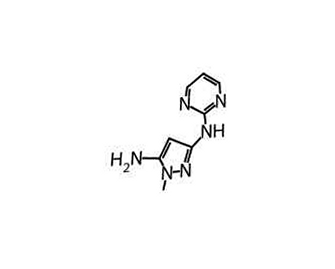 Cn1nc(Nc2ncccn2)cc1N